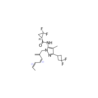 C=C(/C=C\C=C/C)Cn1nc(C2CC(F)(F)C2)c(C)c1NC(=O)[C@H]1CC1(F)F